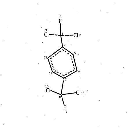 FC(Cl)(Cl)c1ccc(C(F)(Cl)Cl)cc1